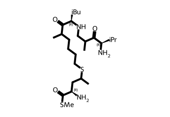 CCC(C)[C@@H](NCC(C)C(=O)[C@H](N)C(C)C)C(=O)C(C)CCCCSC(C)C[C@@H](N)C(=O)SC